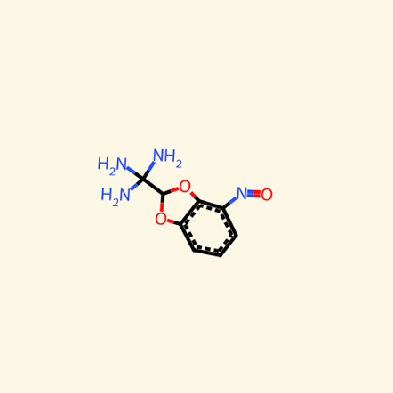 NC(N)(N)C1Oc2cccc(N=O)c2O1